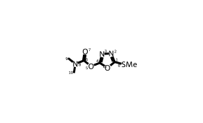 CSc1nnc(OC(=O)N(C)C)o1